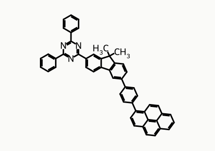 CC1(C)c2ccc(-c3ccc(-c4ccc5ccc6cccc7ccc4c5c67)cc3)cc2-c2ccc(-c3nc(-c4ccccc4)nc(-c4ccccc4)n3)cc21